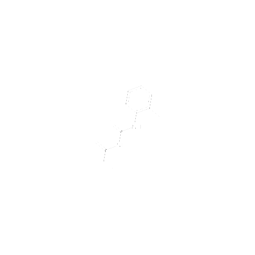 C=C(NC(=O)Nc1ccccc1C)C(=O)OCC